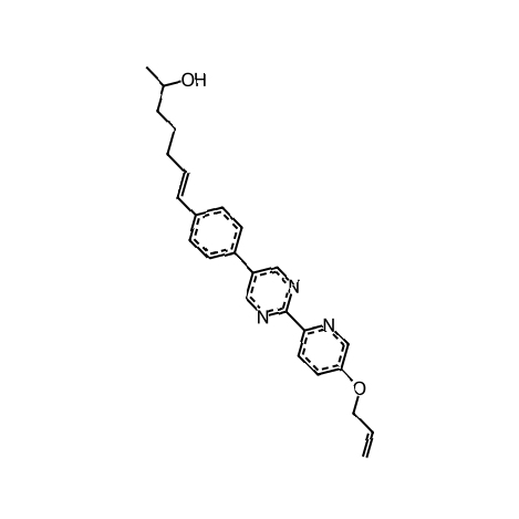 C=CCOc1ccc(-c2ncc(-c3ccc(C=CCCCC(C)O)cc3)cn2)nc1